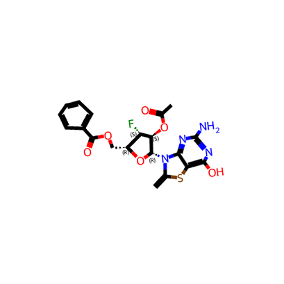 C=C1Sc2c(O)nc(N)nc2N1[C@@H]1O[C@H](COC(=O)c2ccccc2)[C@H](F)[C@H]1OC(C)=O